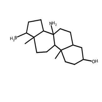 BC1CCC2C1(C)CCC1C3(C)CCC(O)CC3CCC21N